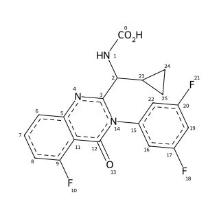 O=C(O)NC(c1nc2cccc(F)c2c(=O)n1-c1cc(F)cc(F)c1)C1CC1